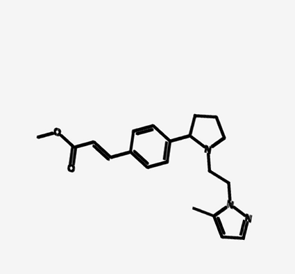 COC(=O)/C=C/c1ccc(C2CCCN2CCn2nccc2C)cc1